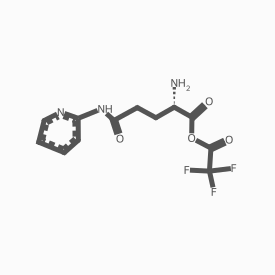 N[C@@H](CCC(=O)Nc1ccccn1)C(=O)OC(=O)C(F)(F)F